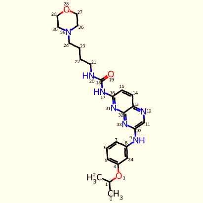 CC(C)Oc1cccc(Nc2cnc3ccc(NC(=O)NCCCCN4CCOCC4)nc3n2)c1